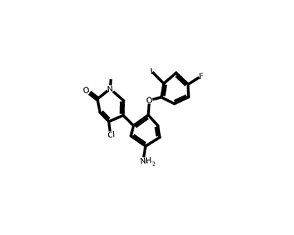 Cn1cc(-c2cc(N)ccc2Oc2ccc(F)cc2I)c(Cl)cc1=O